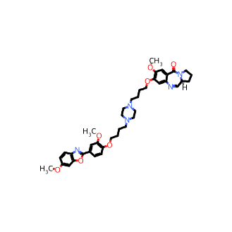 COc1ccc2nc(-c3ccc(OCCCCN4CCN(CCCCOc5cc6c(cc5OC)C(=O)N5CCC[C@H]5C=N6)CC4)c(OC)c3)oc2c1